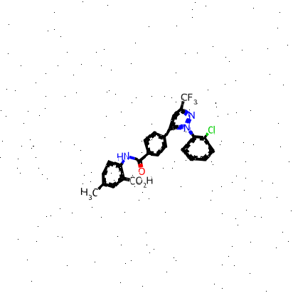 Cc1ccc(NC(=O)c2ccc(-c3cc(C(F)(F)F)nn3-c3ccccc3Cl)cc2)c(C(=O)O)c1